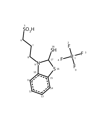 F[B-](F)(F)F.O=S(=O)(O)CCCN1c2ccccc2SC1S